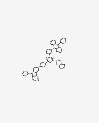 c1ccc(-c2c3ccccc3c(-c3cccc(-c4nc(-c5ccc(-c6ccc7c(c6)c6cnccc6n7-c6ccccc6)cc5)cc(-c5ccc6ccccc6c5)n4)c3)c3ccccc23)cc1